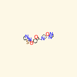 c1cnc(OC2CCN(Cc3coc4cc(Oc5nc6ncccc6s5)ccc34)CC2)nc1